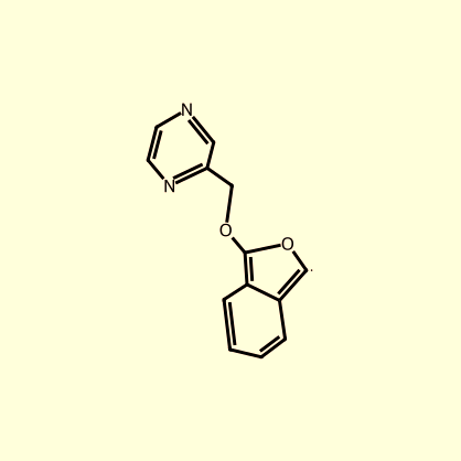 [c]1oc(OCc2cnccn2)c2ccccc12